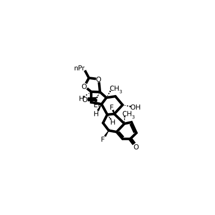 CCCC1O[C@@H]2C[C@H]3[C@@H]4C[C@H](F)C5=CC(=O)C=C[C@]5(C)[C@@]4(F)[C@@H](O)C[C@]3(C)[C@]2(C(=O)CC)O1